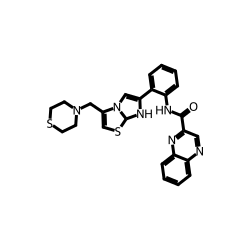 O=C(Nc1ccccc1C1=CN2C(CN3CCSCC3)=CSC2N1)c1cnc2ccccc2n1